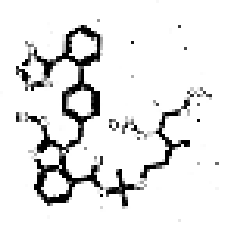 CCOc1nc2cccc(C(=O)OC(C)(C)OCCC(C)[C@H](O[N+](=O)[O-])[C@H](C)O[N+](=O)[O-])c2n1Cc1ccc(-c2ccccc2-c2nnn[nH]2)cc1